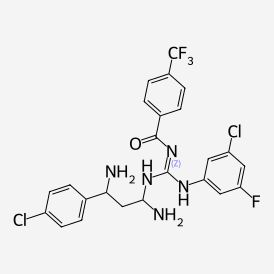 NC(CC(N)c1ccc(Cl)cc1)N/C(=N\C(=O)c1ccc(C(F)(F)F)cc1)Nc1cc(F)cc(Cl)c1